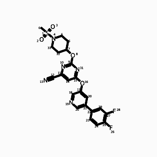 CS(=O)(=O)N1CCC(Oc2nc(C#N)cc(Oc3cncc(-c4ccc(F)c(F)c4)c3)n2)CC1